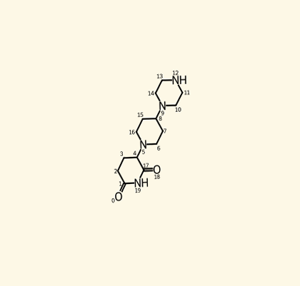 O=C1CCC(N2CCC(N3CCNCC3)CC2)C(=O)N1